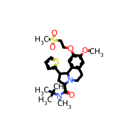 COc1cc2c(cc1OCCS(C)(=O)=O)C1C(c3cccs3)CC(C(=O)N(C)C(C)(C)C)N1CC2